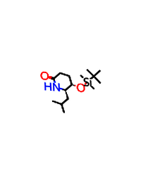 CC(C)C[C@H]1NC(=O)CC[C@@H]1O[Si](C)(C)C(C)(C)C